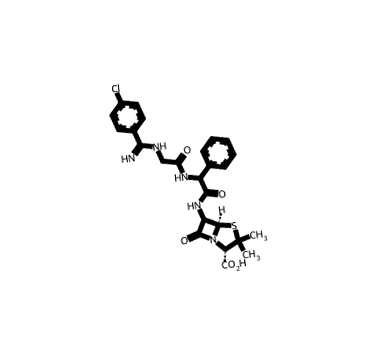 CC1(C)S[C@@H]2C(NC(=O)C(NC(=O)CNC(=N)c3ccc(Cl)cc3)c3ccccc3)C(=O)N2[C@H]1C(=O)O